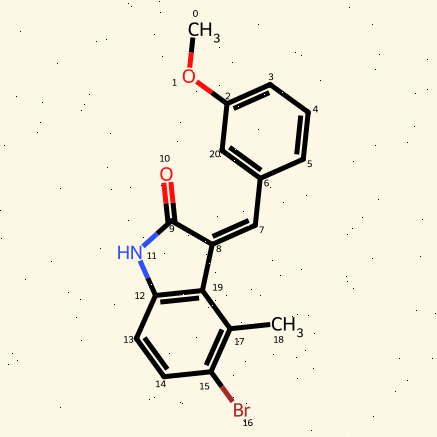 COc1cccc(C=C2C(=O)Nc3ccc(Br)c(C)c32)c1